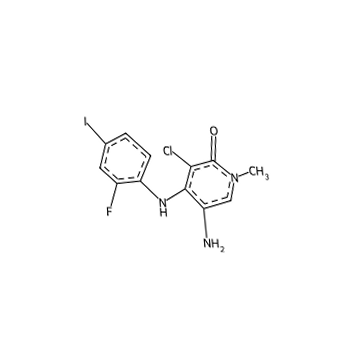 Cn1cc(N)c(Nc2ccc(I)cc2F)c(Cl)c1=O